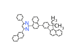 CC1(C)c2ccc(-c3ccc(-c4nc(-c5ccccc5)cc(-c5ccc6ccccc6c5)n4)c4ccccc34)cc2-c2ccc3ccccc3c21